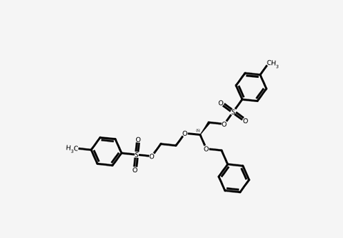 Cc1ccc(S(=O)(=O)OCCO[C@@H](COS(=O)(=O)c2ccc(C)cc2)OCc2ccccc2)cc1